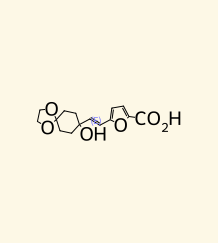 O=C(O)c1ccc(/C=C/C2(O)CCC3(CC2)OCCO3)o1